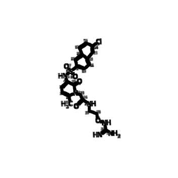 Cc1ccc(NS(=O)(=O)c2ccc3cc(Cl)ccc3c2)c(=O)n1CC(=O)NCCONC(=N)N